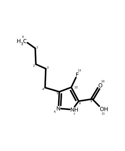 CCCCCc1n[nH]c(C(=O)O)c1F